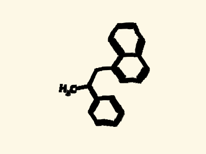 C[C](Cc1cccc2ccccc12)c1ccccc1